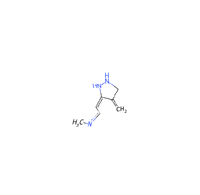 C=C1CNN/C1=C/C=N\C